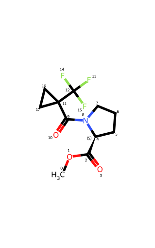 COC(=O)[C@@H]1CCCN1C(=O)C1(C(F)(F)F)CC1